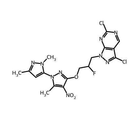 Cc1cc(-n2nc(OCC(F)Cn3nc(Cl)c4cnc(Cl)nc43)c([N+](=O)[O-])c2C)n(C)n1